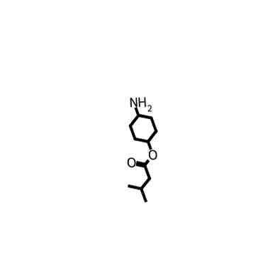 CC(C)CC(=O)OC1CCC(N)CC1